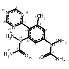 Cc1cc(N(N)C(N)=O)cc(N(N)C(N)=O)c1-c1ncncn1